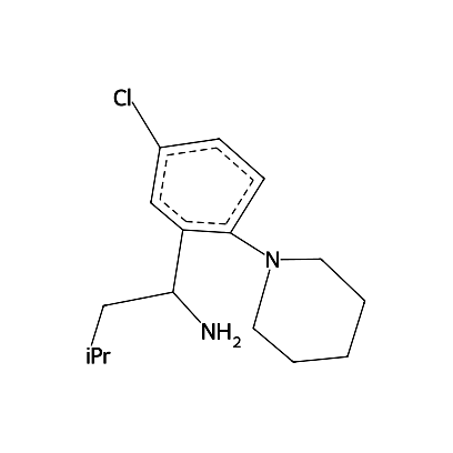 CC(C)CC(N)c1cc(Cl)ccc1N1CCCCC1